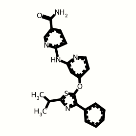 CC(C)c1nc(-c2ccccc2)c(Oc2ccnc(Nc3ccc(C(N)=O)cn3)c2)s1